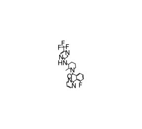 CC1C(Nc2cnc(C(F)(F)F)cn2)CCCN1C(=O)c1cccc(F)c1-c1ncccn1